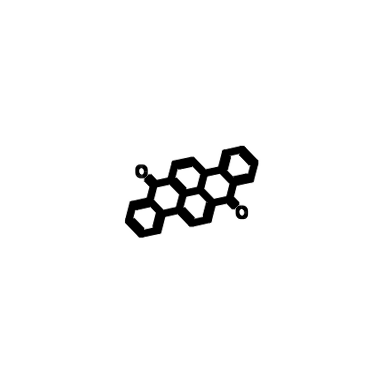 O=C1C2=C3C(=CC=C4C(=O)c5ccccc5C(C=C2)C43)c2ccccc21